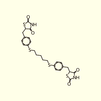 O=C1NC(=O)C(Cc2ccc(SCCCCCSc3ccc(CC4SC(=O)NC4=O)cc3)cc2)S1